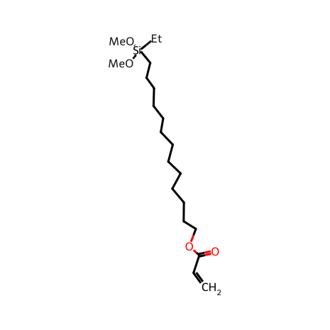 C=CC(=O)OCCCCCCCCCCCCC[Si](CC)(OC)OC